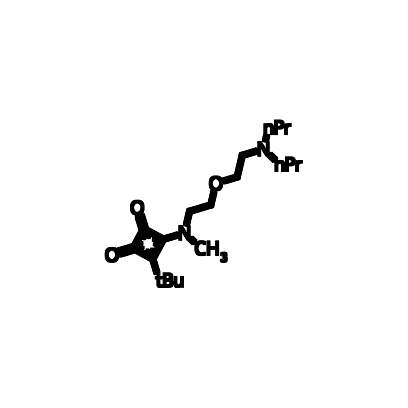 CCCN(CCC)CCOCCN(C)c1c(C(C)(C)C)c(=O)c1=O